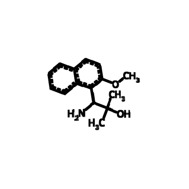 COc1ccc2ccccc2c1C(N)C(C)(C)O